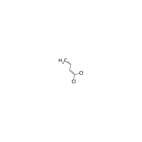 C=CC=C(Cl)Cl